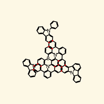 c1ccc(-c2cccc(-c3ccccc3)c2N2c3cc(-c4ccc5c(c4)c4ccccc4n5-c4ccccc4)ccc3B3c4ccc(-n5c6ccccc6c6ccccc65)cc4N(c4c(-c5ccccc5)cccc4-c4ccccc4)c4cc(-c5ccc6c(c5)c5cccc7c8ccccc8n6c75)cc2c43)cc1